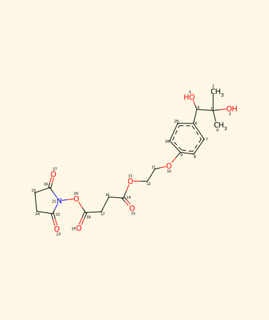 CC(C)(O)C(O)c1ccc(OCCOC(=O)CCC(=O)ON2C(=O)CCC2=O)cc1